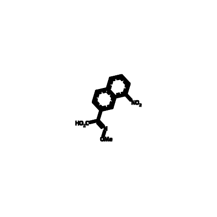 CON=C(C(=O)O)c1ccc2cccc([N+](=O)[O-])c2c1